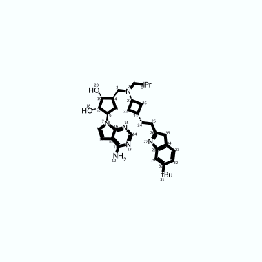 CC(C)CN(C[C@H]1C[C@@H](n2ccc3c(N)ncnc32)[C@H](O)[C@@H]1O)[C@H]1C[C@@H](CCC2=Nc3cc(C(C)(C)C)ccc3C2)C1